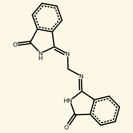 O=C1N/C(=N\C/N=C2\NC(=O)c3ccccc32)c2ccccc21